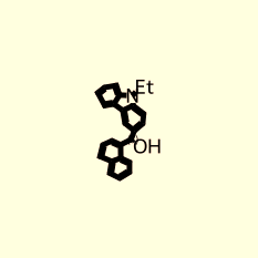 CCn1c2ccccc2c2cc([C@H](O)c3cccc4ccccc34)ccc21